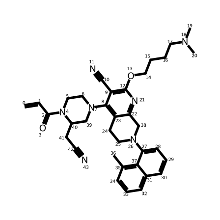 C=CC(=O)N1CCN(c2c(C#N)c(OCCCCN(C)C)nc3c2CCN(c2cccc4cccc(C)c24)C3)CC1CC#N